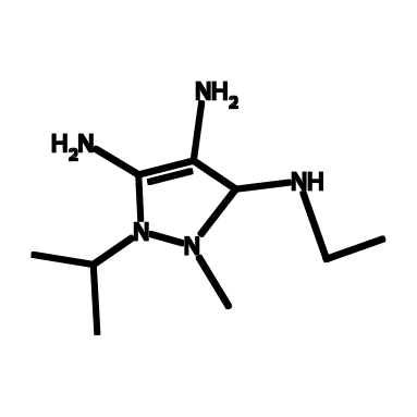 CCNC1C(N)=C(N)N(C(C)C)N1C